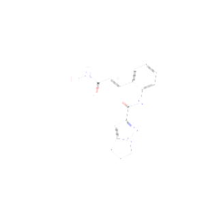 O=C(/C=C/c1ccccc1NC(=O)c1cc2n(n1)CCC2)NO